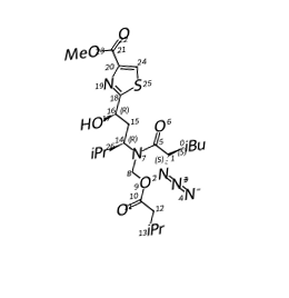 CC[C@H](C)[C@H](N=[N+]=[N-])C(=O)N(COC(=O)CC(C)C)[C@H](C[C@@H](O)c1nc(C(=O)OC)cs1)C(C)C